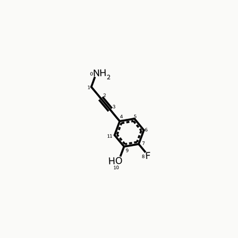 NCC#Cc1ccc(F)c(O)c1